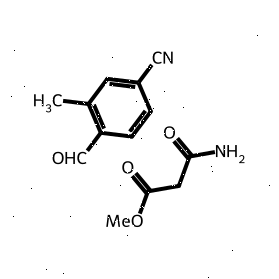 COC(=O)CC(N)=O.Cc1cc(C#N)ccc1C=O